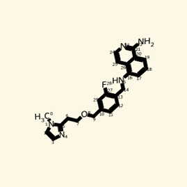 Cn1ccnc1CCOCc1ccc(CNc2cccc3c(N)nccc23)c(F)c1